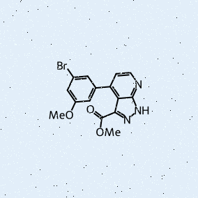 COC(=O)c1n[nH]c2nccc(-c3cc(Br)cc(OC)c3)c12